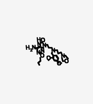 CCCCOc1nc(N)c2[nH]c(=O)n(CCCN(CCCN3CCOCC3)Cc3ccc(OC)cc3OC)c2n1